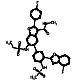 CCS(=O)(=O)Nc1cc2oc(-c3ccc(F)cc3)c(C(=O)NC)c2cc1-c1ccc(NS(C)(=O)=O)c(-c2nc3c(F)cccc3o2)c1